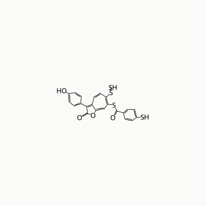 O=C(Sc1cc2oc(=O)c(-c3ccc(O)cc3)c-2ccc1SS)c1ccc(S)cc1